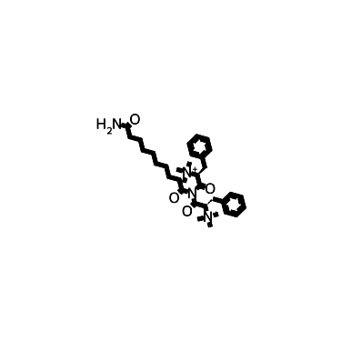 C[N+](C)(C)[C@@H](Cc1ccccc1)C(=O)N(C(=O)CCCCCCCCC(N)=O)C(=O)[C@H](Cc1ccccc1)[N+](C)(C)C